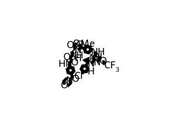 COC(=O)[C@H](CNC(=O)C(=O)Nc1ccc(C(=O)N2CCOCC2)cc1)NC(=O)c1ccc(Nc2nc(NC3(c4ccc(Cl)cc4)CC3)nc(OCC(F)(F)F)n2)cc1